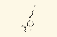 O=[N+]([O-])c1cc(OCCCCl)ccc1F